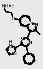 CC(=O)NCCOc1ccn2nc(C)c(-c3nc(-c4ccccc4)c(-c4ncc[nH]4)s3)c2c1